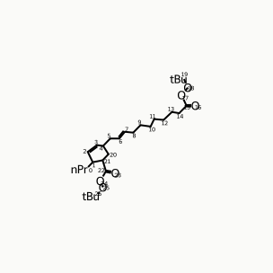 CCCC1C=CC(CC=CCCCCCCCC(=O)OOC(C)(C)C)CC1C(=O)OOC(C)(C)C